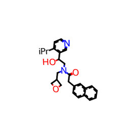 CC(C)c1ccncc1C(O)CN(CC1COC1)C(=O)Cc1ccc2ccccc2c1